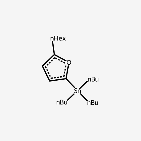 CCCCCCc1cc[c]([Sn]([CH2]CCC)([CH2]CCC)[CH2]CCC)o1